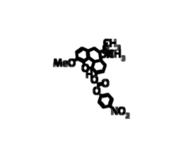 COc1ccc2c3c1O[C@H]1C(OC(=O)Oc4ccc([N+](=O)[O-])cc4)=CC[C@](O)(C31)[C@H](N(C)C)C2